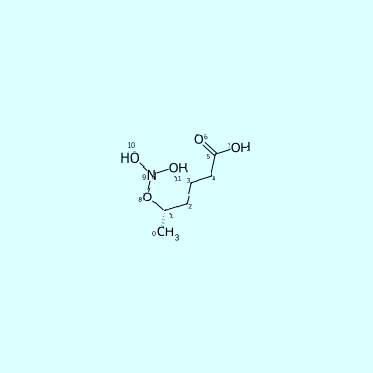 C[C@@H](CCCC(=O)O)ON(O)O